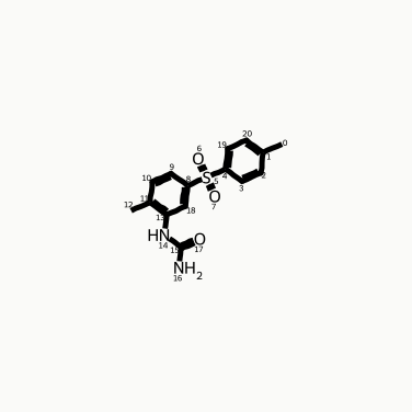 Cc1ccc(S(=O)(=O)c2ccc(C)c(NC(N)=O)c2)cc1